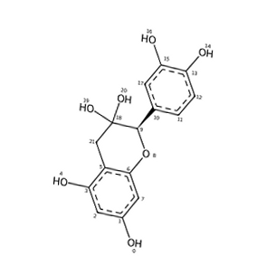 Oc1cc(O)c2c(c1)O[C@H](c1ccc(O)c(O)c1)C(O)(O)C2